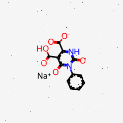 O=C([O-])c1[nH]c(=O)n(-c2ccccc2)c(=O)c1C(=O)O.[Na+]